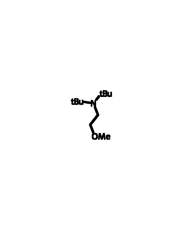 COCCN(C(C)(C)C)C(C)(C)C